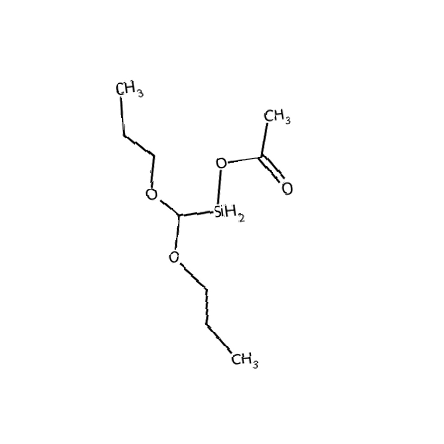 CCCOC(OCCC)[SiH2]OC(C)=O